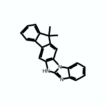 CC1(C)c2ccccc2-c2cc3[nH]c4nc5ccccc5n4c3cc21